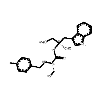 COC[C@@](C=O)(Cc1c[nH]c2ccccc12)NC(=O)[C@H](CS)NCc1ccc(F)cc1